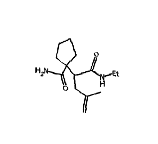 C=C(C)CC(C(=O)NCC)C1(C(N)=O)CCCC1